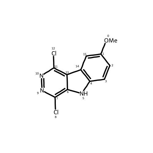 COc1ccc2[nH]c3c(Cl)nnc(Cl)c3c2c1